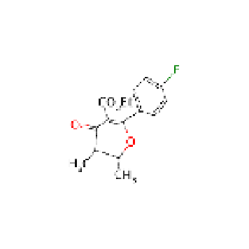 CCOC(=O)C1=C(c2ccc(F)cc2)OC(C)C(C)C1=O